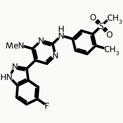 CNc1nc(Nc2ccc(C)c(S(C)(=O)=O)c2)ncc1-c1n[nH]c2ccc(F)cc12